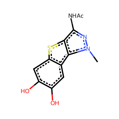 CC(=O)Nc1nn(C)c2c1sc1cc(O)c(O)cc12